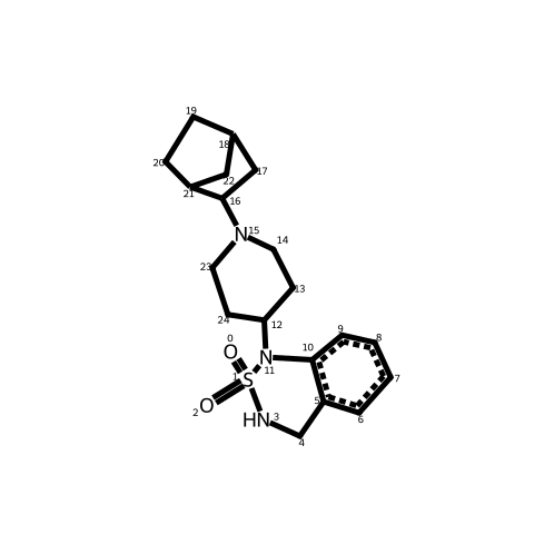 O=S1(=O)NCc2ccccc2N1C1CCN(C2CC3CCC2C3)CC1